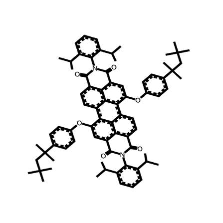 CC(C)c1cccc(C(C)C)c1N1C(=O)c2ccc3c4c(Oc5ccc(C(C)(C)CC(C)(C)C)cc5)cc5c6c(ccc(c7c(Oc8ccc(C(C)(C)CC(C)(C)C)cc8)cc(c2c37)C1=O)c64)C(=O)N(c1c(C(C)C)cccc1C(C)C)C5=O